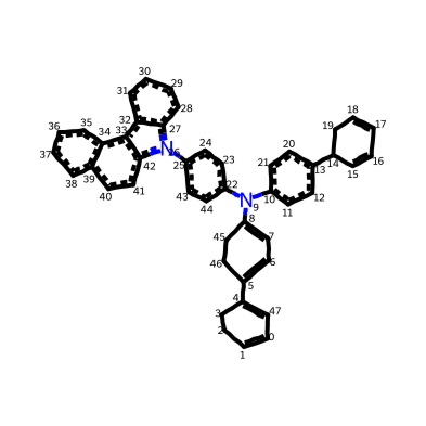 C1=CCCC(C2=CC=C(N(c3ccc(C4C=CC=CC4)cc3)c3ccc(-n4c5ccccc5c5c6ccccc6ccc54)cc3)CC2)=C1